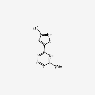 CSc1cccc(-c2nc(C(C)(C)C)no2)n1